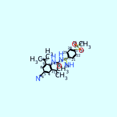 CC(C)c1cc(C#N)cc(C(C)C)c1NC(=O)NS(=N)c1ccc(S(C)(=O)=O)cc1